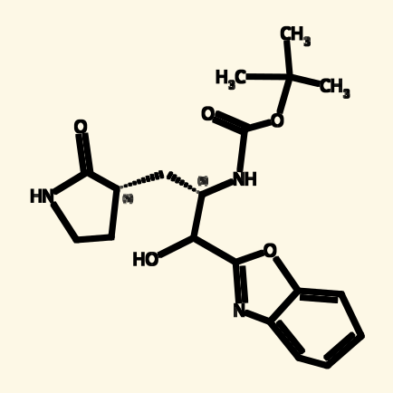 CC(C)(C)OC(=O)N[C@@H](C[C@@H]1CCNC1=O)C(O)c1nc2ccccc2o1